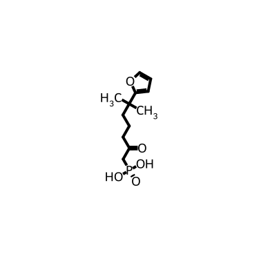 CC(C)(CCCC(=O)CP(=O)(O)O)c1ccco1